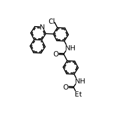 CCC(=O)Nc1ccc(C(=O)Nc2ccc(Cl)c(-c3nccc4ccccc34)c2)cc1